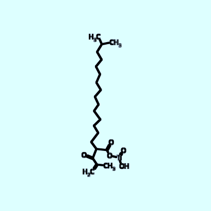 C=C(C)C(=O)C(CCCCCCCCCCCCCC(C)C)C(=O)[O][Ti](=[O])[OH]